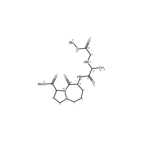 COC(=O)C1CCN2CCCC(NC(=O)C(C)NCC(=O)OC(C)(C)C)C(=O)N12